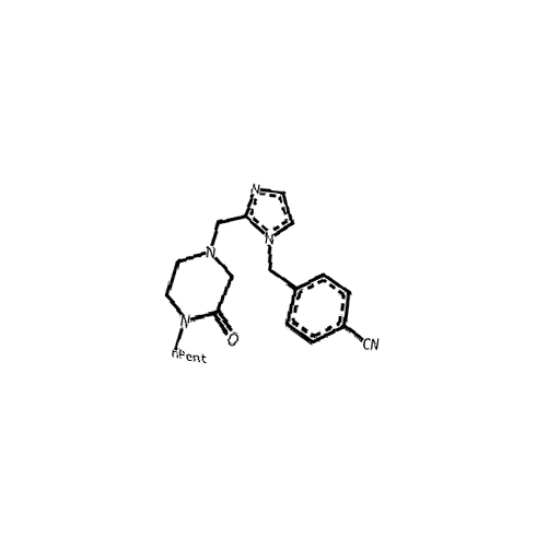 CCCCCN1CCN(Cc2nccn2Cc2ccc(C#N)cc2)CC1=O